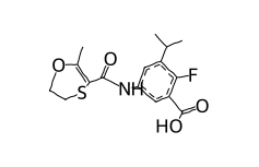 CC1=C(C(=O)Nc2cc(C(=O)O)c(F)c(C(C)C)c2)SCCO1